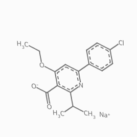 CCOc1cc(-c2ccc(Cl)cc2)nc(C(C)C)c1C(=O)[O-].[Na+]